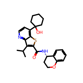 CC(C)c1c(C(=O)N[C@H]2CCOc3ccccc32)sc2c(C3(O)CCCCC3)ccnc12